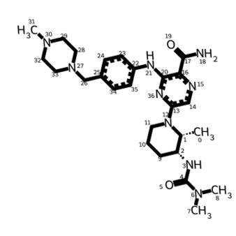 C[C@@H]1[C@H](NC(=O)N(C)C)CCCN1c1cnc(C(N)=O)c(Nc2ccc(CN3CCN(C)CC3)cc2)n1